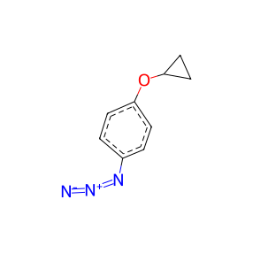 [N-]=[N+]=Nc1ccc(OC2CC2)cc1